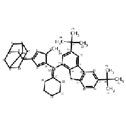 CC1C=C(C23CC4CC(CC(C4)C2)C3)C=[C]1[Zr](=[C]1CCCCC1)[c]1cc(C(C)(C)C)cc2c1Cc1ccc(C(C)(C)C)cc1-2